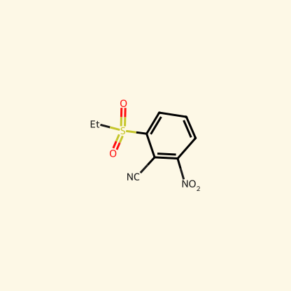 CCS(=O)(=O)c1cccc([N+](=O)[O-])c1C#N